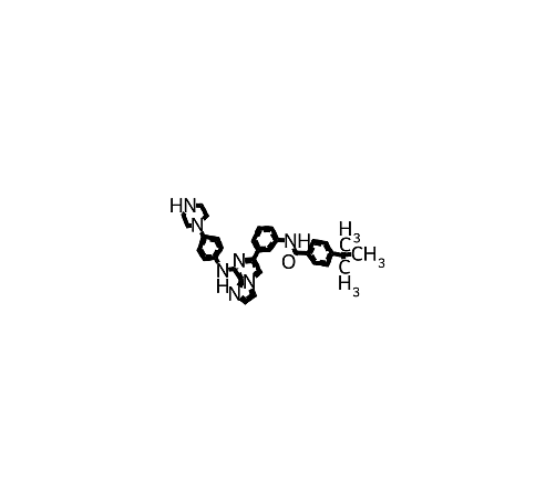 CC(C)(C)c1ccc(C(=O)Nc2cccc(-c3cn4ccnc4c(Nc4ccc(N5CCNCC5)cc4)n3)c2)cc1